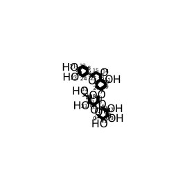 C[C@@H]1O[C@@H](O[C@H]2[C@H](OC3=CC(O)=C4C(=O)C[C@@H](c5ccc(O)c(O)c5)OC4C3)O[C@H](CO)[C@@H](O)[C@@H]2O)[C@H](O)[C@H](O)[C@H]1O